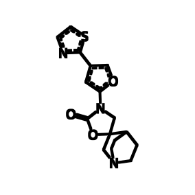 O=C1OC2(CN3CCC2CC3)CN1c1cc(-c2nccs2)co1